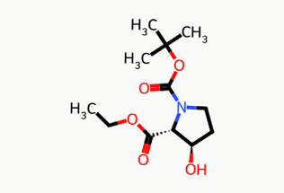 CCOC(=O)[C@H]1[C@H](O)CCN1C(=O)OC(C)(C)C